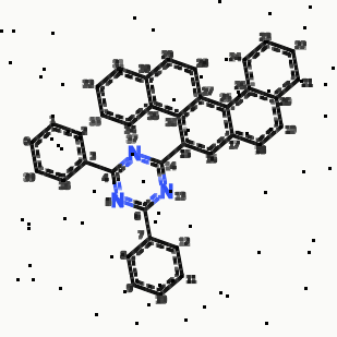 c1ccc(-c2nc(-c3ccccc3)nc(-c3cc4ccc5ccccc5c4c4ccc5ccccc5c34)n2)cc1